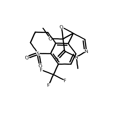 COC12OC1(c1ccc(C(F)(F)F)c3c1CCCS3(=O)=O)C=NN(C)C2=O